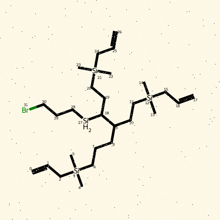 C=CC[Si](C)(C)CCCC(CC[Si](C)(C)CC=C)C(CC[Si](C)(C)CC=C)[SiH2]CCCBr